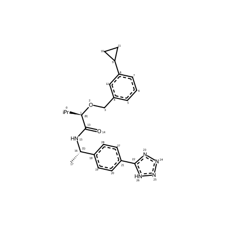 CC(C)[C@@H](OCc1cccc(C2CC2)c1)C(=O)N[C@@H](C)c1ccc(-c2nnn[nH]2)cc1